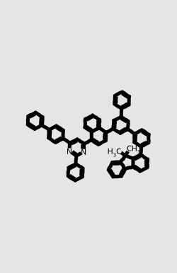 CC1(C)c2ccccc2-c2cccc(-c3cccc(-c4cc(-c5ccccc5)cc(-c5ccc(-c6cc(-c7ccc(-c8ccccc8)cc7)nc(-c7ccccc7)n6)c6ccccc56)c4)c3)c21